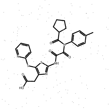 Cc1ccc(N(C(=O)C(=O)Nc2nc(CC(=O)O)c(Sc3ccccn3)s2)C(=O)C2CCCC2)cc1